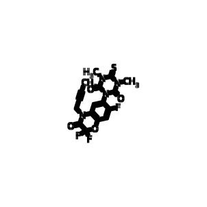 CC#CCN1C(=O)C(F)(F)Oc2cc(F)c(-n3c(=O)n(C)c(=S)n(C)c3=O)cc21